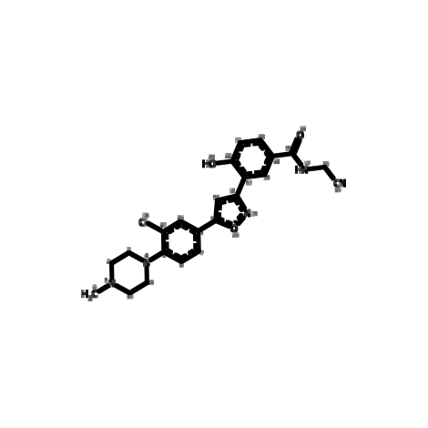 CN1CCN(c2ccc(-c3cc(-c4cc(C(=O)NCC#N)ccc4O)no3)cc2Cl)CC1